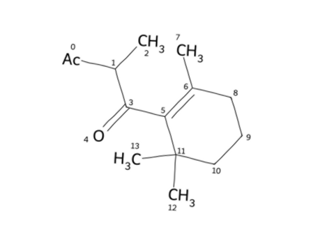 CC(=O)C(C)C(=O)C1=C(C)CCCC1(C)C